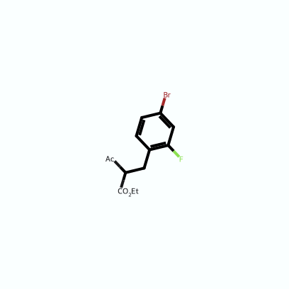 CCOC(=O)C(Cc1ccc(Br)cc1F)C(C)=O